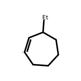 CCC1C=[C]CCCC1